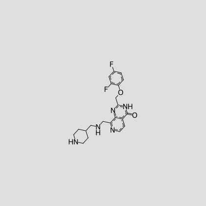 O=c1[nH]c(COc2ccc(F)cc2F)nc2c(CNCC3CCNCC3)nccc12